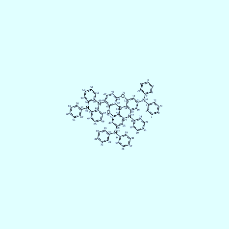 c1ccc(N(c2ccccc2)c2cc3c4c(c2)N(c2ccccc2)c2cc(N(c5ccccc5)c5ccccc5)cc5c2B4c2c(ccc(N4c6ccccc6N(c6ccccc6)c6ccccc64)c2O5)O3)cc1